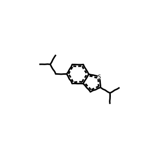 CC(C)Cc1ccc2sc(C(C)C)cc2c1